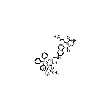 CSCC[C@H]1C(=O)NCCN1C(=O)c1cccc2cc(NC[C@H](CSC(c3ccccc3)(c3ccccc3)c3ccccc3)NC(=O)OC(C)(C)C)ccc12